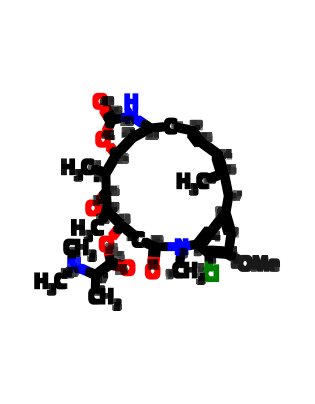 COc1cc2cc(c1Cl)N(C)C(=O)CC(OC(=O)C(C)N(C)C)C1(C)OC1C(C)C1CC(C/C=C/C=C(\C)C2)NC(=O)O1